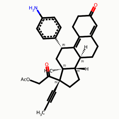 CC#C[C@]1(C(=O)COC(C)=O)CC[C@H]2[C@@H]3CCC4=CC(=O)CCC4=C3[C@@H](c3ccc(N)cc3)C[C@@]21C